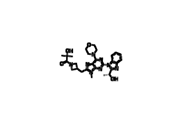 C[C@@H](O)c1nc2ccccc2n1-c1nc(N2CCOCC2)c2nc(CC3CN(C(=O)C(C)(C)O)C3)n(C)c2n1